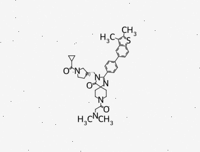 Cc1sc2ccc(-c3ccc(C4=NC5(CCN(C(=O)CN(C)C)CC5)C(=O)N4C[C@@H]4CCN(C(=O)C5CC5)C4)cc3)cc2c1C